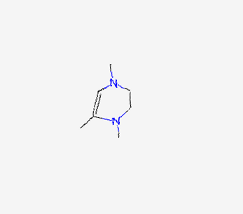 CC1=CN(C)CCN1C